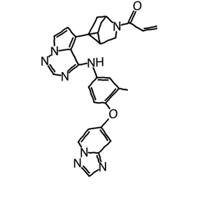 C=CC(=O)N1CC2CCC1CC2c1ccn2ncnc(Nc3ccc(Oc4ccn5ncnc5c4)c(C)c3)c12